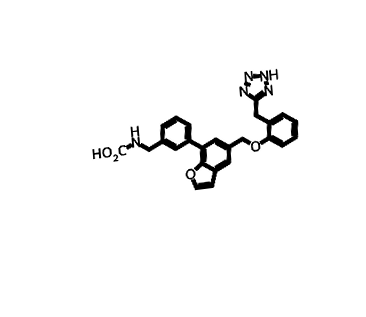 O=C(O)NCc1cccc(-c2cc(COc3ccccc3Cc3nn[nH]n3)cc3ccoc23)c1